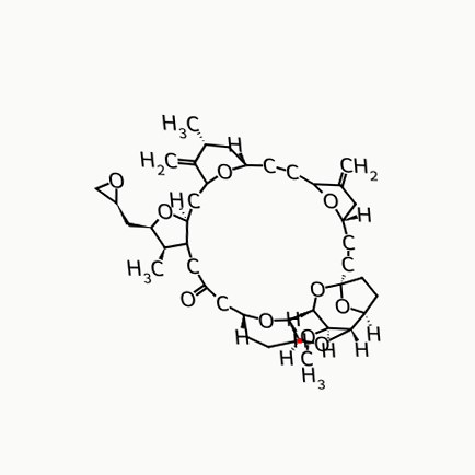 C=C1C[C@@H]2CC[C@]34CC[C@H](O3)[C@@H]3O[C@H]5CC[C@H](CC(=O)CC6[C@H](CC7O[C@@H](CCC1O2)C[C@@H](C)C7=C)O[C@H](C[C@H]1CO1)[C@@H]6C)O[C@@H]5[C@H](O4)[C@@H]3OC